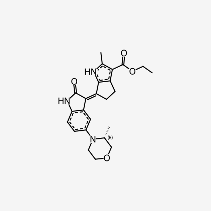 CCOC(=O)c1c(C)[nH]c2c1CCC2=C1C(=O)Nc2ccc(N3CCOC[C@H]3C)cc21